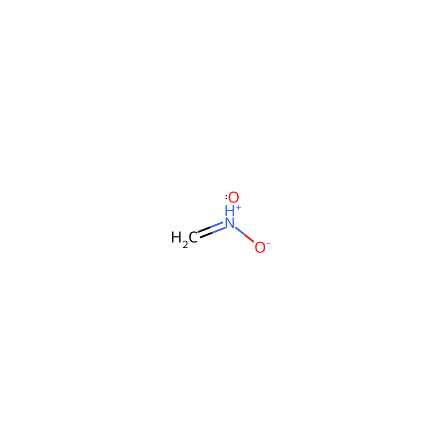 C=[NH+][O-].[O]